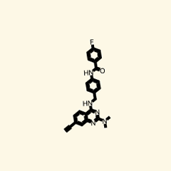 C#Cc1ccc2c(NCc3ccc(NC(=O)c4ccc(F)cc4)cc3)nc(N(C)C)nc2c1